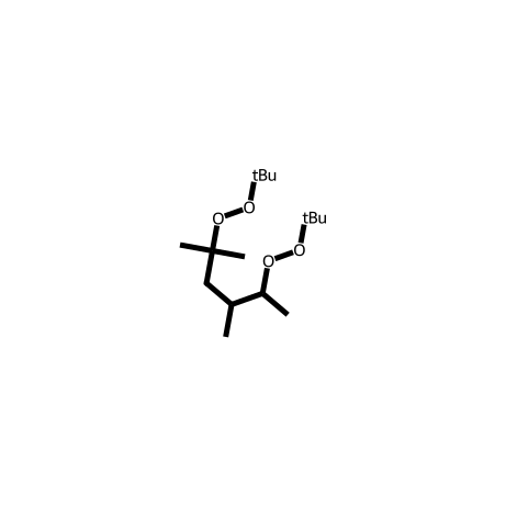 CC(CC(C)(C)OOC(C)(C)C)C(C)OOC(C)(C)C